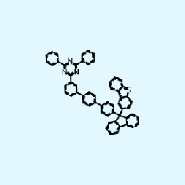 c1ccc(-c2nc(-c3ccccc3)nc(-c3cccc(-c4ccc(-c5ccc(C6(c7ccc8sc9ccccc9c8c7)c7ccccc7-c7ccccc76)cc5)cc4)c3)n2)cc1